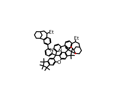 CCC1CC2CCCC(C2)c2cc(-c3cccc(C4(c5cccc(-c6ccc7c(c6)C6CCCC(CC7CC)C6)n5)c5cc6c(cc5Oc5cc7c(cc54)C(C)(C)C(C)(C)C7(C)C)C(C)(C)C(C)(C)C6(C)C)n3)ccc21